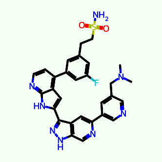 CN(C)Cc1cncc(-c2cc3c(-c4cc5c(-c6cc(F)cc(CCS(N)(=O)=O)c6)ccnc5[nH]4)n[nH]c3cn2)c1